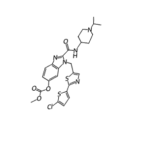 COC(=O)Oc1ccc2nc(C(=O)NC3CCN(C(C)C)CC3)n(Cc3cnc(-c4ccc(Cl)s4)s3)c2c1